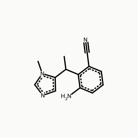 CC(c1c(N)cccc1C#N)c1cncn1C